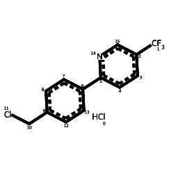 Cl.FC(F)(F)c1ccc(-c2ccc(CCl)cc2)nc1